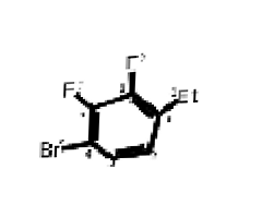 CCc1ccc(Br)c(F)c1F